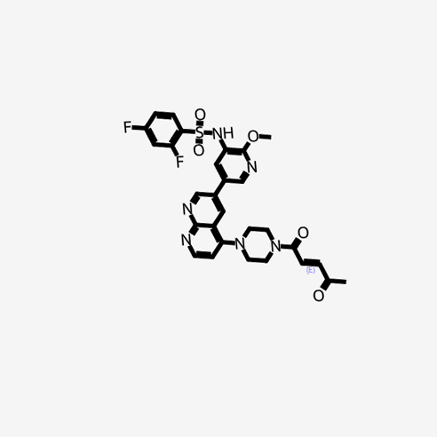 COc1ncc(-c2cnc3nccc(N4CCN(C(=O)/C=C/C(C)=O)CC4)c3c2)cc1NS(=O)(=O)c1ccc(F)cc1F